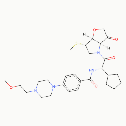 COCCN1CCN(c2ccc(C(=O)N[C@H](C(=O)N3C[C@H](SC)[C@H]4OCC(=O)[C@H]43)C3CCCC3)cc2)CC1